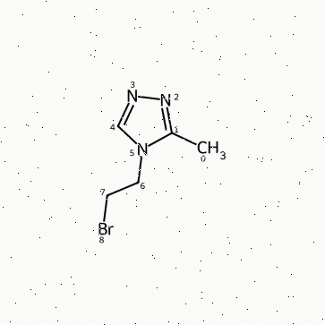 Cc1nncn1CCBr